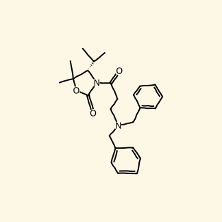 CC(C)[C@@H]1N(C(=O)CCN(Cc2ccccc2)Cc2ccccc2)C(=O)OC1(C)C